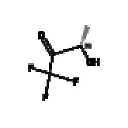 C[C@H](O)C(=O)C(F)(F)F